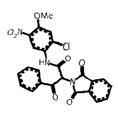 COc1cc(Cl)c(NC(=O)C(C(=O)c2ccccc2)N2C(=O)c3ccccc3C2=O)cc1[N+](=O)[O-]